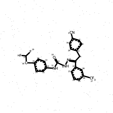 N#Cc1ccc(CC(=NNC(=O)Nc2ccc(OC(F)F)cc2)c2cccc(C(F)(F)F)c2)cc1